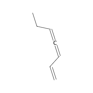 C=CC=C=CCC